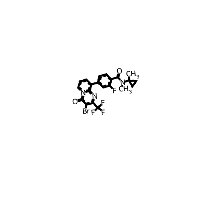 CN(C(=O)c1ccc(-c2cccn3c(=O)c(Br)c(C(F)(F)F)nc23)cc1F)C1(C)CC1